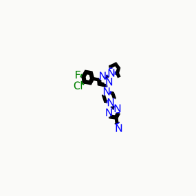 CC1CCCN1c1nc(-c2ccc(F)c(Cl)c2)cc(N2CCN(c3ncc(C#N)cn3)CC2)n1